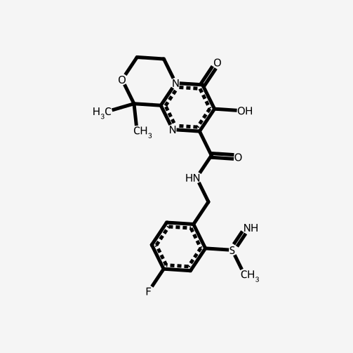 CS(=N)c1cc(F)ccc1CNC(=O)c1nc2n(c(=O)c1O)CCOC2(C)C